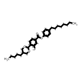 CCCCCCCCc1ccc(OC(=O)c2ccc(C3OCC(CCCCC)CO3)c(F)c2)cc1